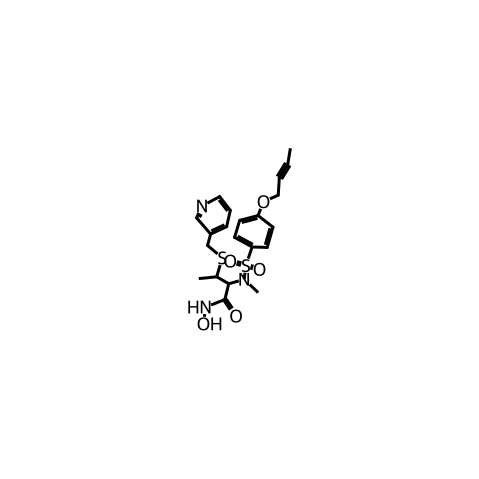 CC#CCOc1ccc(S(=O)(=O)N(C)C(C(=O)NO)C(C)SCc2cccnc2)cc1